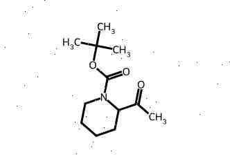 CC(=O)C1CCCCN1C(=O)OC(C)(C)C